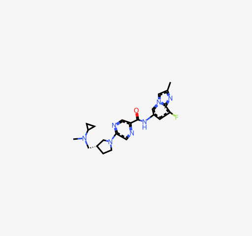 Cc1cn2cc(NC(=O)c3cnc(N4CC[C@H](CN(C)C5CC5)C4)cn3)cc(F)c2n1